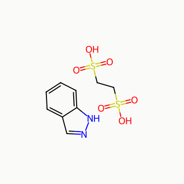 O=S(=O)(O)CCS(=O)(=O)O.c1ccc2[nH]ncc2c1